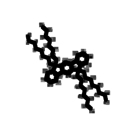 CCCCCCCCC1(CCCCCCCC)c2c[c]ccc2-c2cc3c(cc21)-c1cc[c]cc1C3(CCCCCCCC)CCCCCCCC